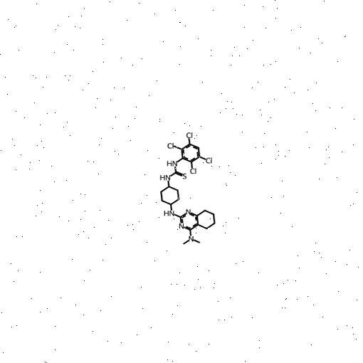 CN(C)c1nc(NC2CCC(NC(=S)Nc3c(Cl)c(Cl)cc(Cl)c3Cl)CC2)nc2c1CCCC2